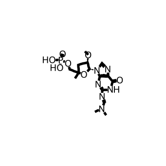 CO[C@@H]1CC(C)(COP(=O)(O)O)O[C@H]1n1cnc2c(=O)[nH]c(/N=C/N(C)C)nc21